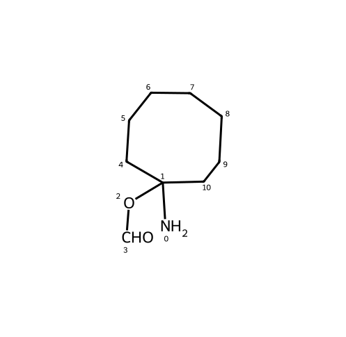 NC1(OC=O)CCCCCCC1